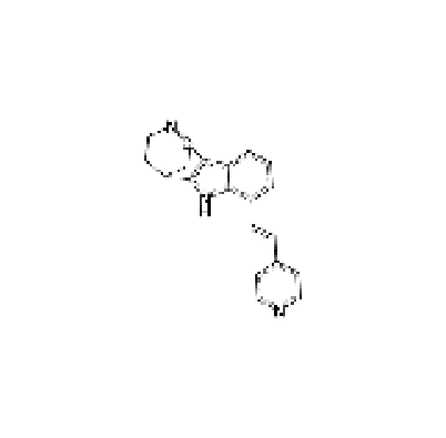 C(=Cc1cccc2c3c([nH]c12)C1CCN(CC1)C3)c1ccncc1